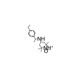 CCc1ccc(C(C)NC2CC(C)(C)[NH+]([O-])C(C)(C)C2)cc1